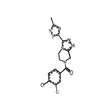 Cc1nsc(-c2nnc3n2CCN(C(=O)c2ccc(Cl)c(Cl)c2)C3)n1